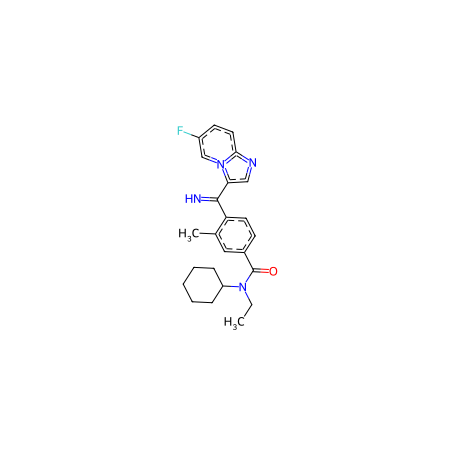 CCN(C(=O)c1ccc(C(=N)c2cnc3ccc(F)cn23)c(C)c1)C1CCCCC1